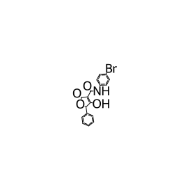 O=C(Nc1ccc(Br)cc1)C1=C(O)C(c2ccccc2)OC1=O